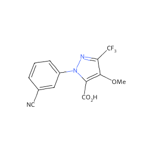 COc1c(C(F)(F)F)nn(-c2cccc(C#N)c2)c1C(=O)O